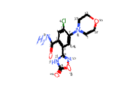 NC(=O)c1cc(Cl)c(N2CCOCC2)cc1-c1noc(=O)[nH]1